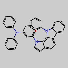 c1ccc(N(c2ccccc2)c2cccc(-n3ccc4ccc5c6ccccc6n(-c6ccccc6)c5c43)c2)cc1